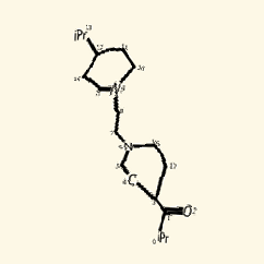 CC(C)C(=O)C1CCN(CCN2CCC(C(C)C)CC2)CC1